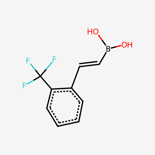 OB(O)/C=C/c1ccccc1C(F)(F)F